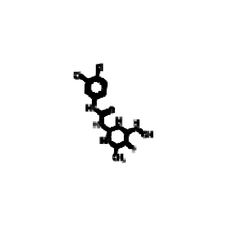 CC1NC(NC(=O)Nc2ccc(Cl)c(Cl)c2)NC(NO)C1F